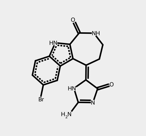 NC1=NC(=O)C(=C2CCNC(=O)c3[nH]c4ccc(Br)cc4c32)N1